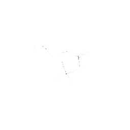 C=C(CON)OC(C)(C)C